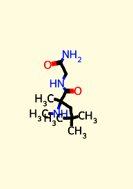 CNC(C)(CC(C)(C)C)C(=O)NCC(N)=O